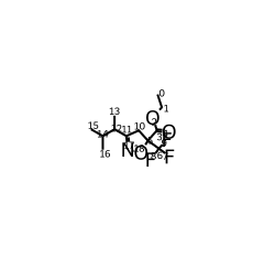 CCOC(=O)C1(C(F)(F)F)CC(C(C)C(C)C)=NO1